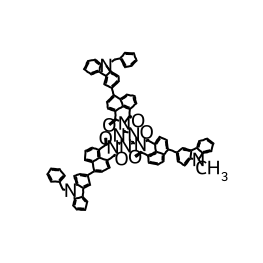 Cn1c2ccccc2c2cc(-c3ccc4c5c(cccc35)C(=O)N(c3nc(N5C(=O)c6cccc7c(-c8ccc9c(c8)c8ccccc8n9Cc8ccccc8)ccc(c67)C5=O)nc(N5C(=O)c6cccc7c(-c8ccc9c(c8)c8ccccc8n9Cc8ccccc8)ccc(c67)C5=O)n3)C4=O)ccc21